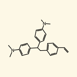 C=Cc1ccc(CC(c2ccc(N(C)C)cc2)c2ccc(N(C)C)cc2)cc1